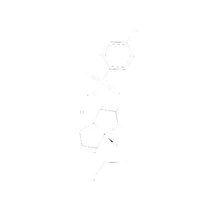 Cc1ccc(S(=O)(=O)O[C@@H]2CO[C@H]3[C@H]2OC[C@H]3C(F)F)cc1